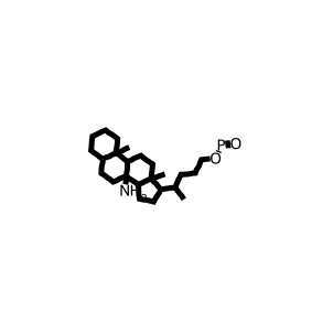 CC(CCCOP=O)C1CCC2C1(C)CCC1C3(C)CCCCC3CCC12N